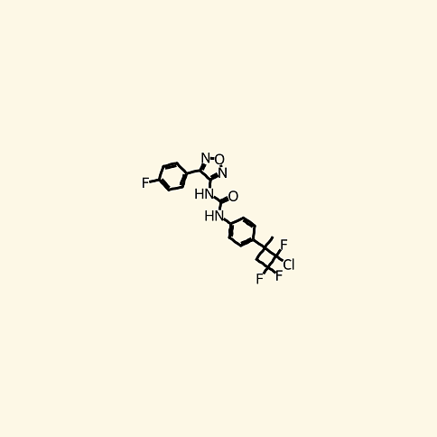 CC1(c2ccc(NC(=O)Nc3nonc3-c3ccc(F)cc3)cc2)CC(F)(F)C1(F)Cl